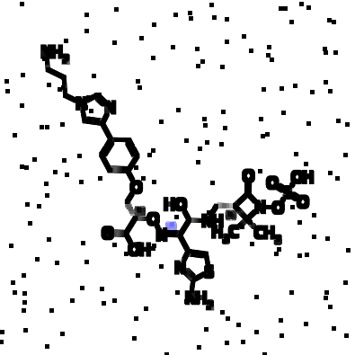 CC1(C)[C@H](CNC(O)/C(=N\O[C@@H](COc2ccc(-c3cn(CCCN)cn3)cc2)C(=O)O)c2csc(N)n2)C(=O)N1OS(=O)(=O)O